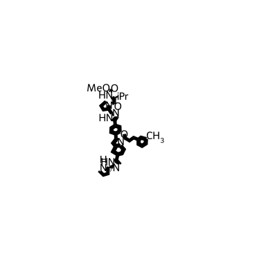 COC(=O)N[C@H](C(=O)N1CCCC1c1ncc(-c2ccc3c(c2)OC(CCc2cccc(C)c2)n2c-3cc3cc(-c4cnc([C@@H]5CCCN5)[nH]4)ccc32)[nH]1)C(C)C